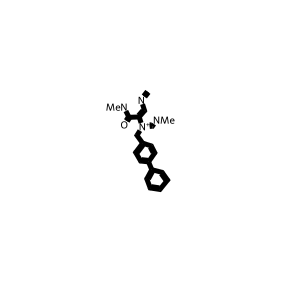 C=N/C=C(C(=O)NC)/[N+](=C\NC)Cc1ccc(-c2ccccc2)cc1